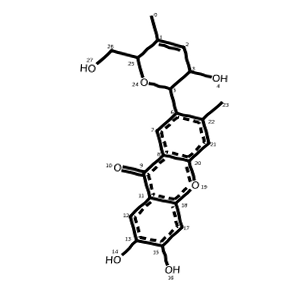 CC1=CC(O)C(c2cc3c(=O)c4cc(O)c(O)cc4oc3cc2C)OC1CO